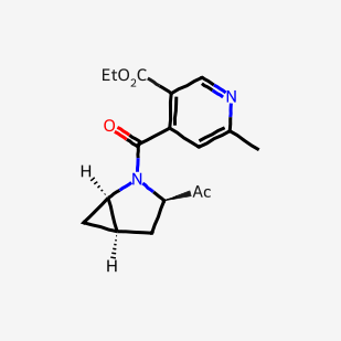 CCOC(=O)c1cnc(C)cc1C(=O)N1[C@@H](C(C)=O)C[C@H]2C[C@H]21